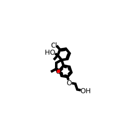 CC(=O)CC1(c2ccc(OCCO)cc2)C=CC=C(Cl)C1(C)O